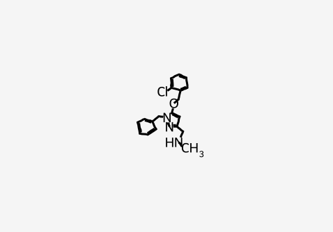 CNCc1cc(OCc2ccccc2Cl)n(Cc2ccccc2)n1